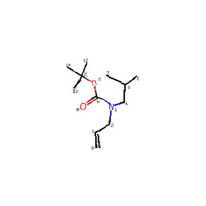 C=CCN(CC(C)C)C(=O)OC(C)(C)C